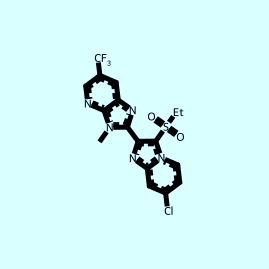 CCS(=O)(=O)c1c(-c2nc3cc(C(F)(F)F)cnc3n2C)nc2cc(Cl)ccn12